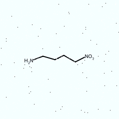 NCCCC[N+](=O)[O-]